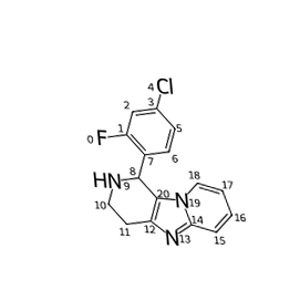 Fc1cc(Cl)ccc1C1NCCc2nc3ccccn3c21